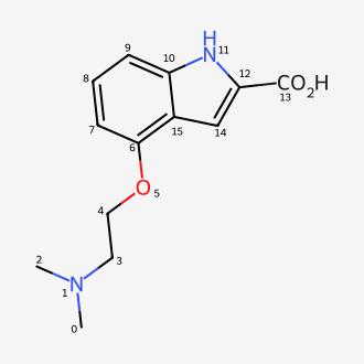 CN(C)CCOc1cccc2[nH]c(C(=O)O)cc12